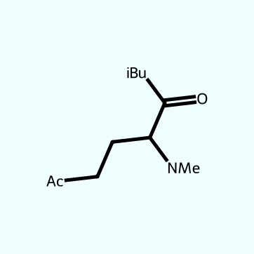 CCC(C)C(=O)C(CCC(C)=O)NC